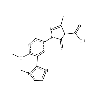 COc1ccc(N2N=C(C)C(C(=O)O)C2=O)cc1-c1nccn1C